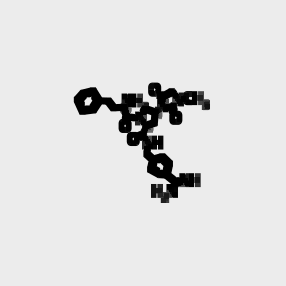 CN1CC(=O)N([C@H]2C[C@@H](C(=O)NCc3ccc(C(=N)N)cc3)N(C(=O)[C@H](N)CCc3ccccc3)C2)C1=O